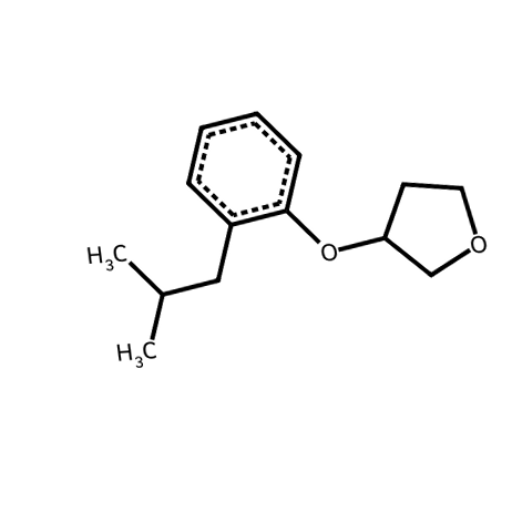 CC(C)Cc1ccccc1OC1CCOC1